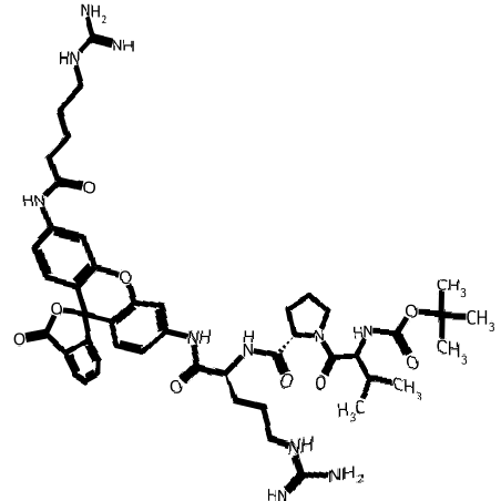 CC(C)C(NC(=O)OC(C)(C)C)C(=O)N1CCC[C@H]1C(=O)N[C@@H](CCCNC(=N)N)C(=O)Nc1ccc2c(c1)Oc1cc(NC(=O)CCCCNC(=N)N)ccc1C21OC(=O)c2ccccc21